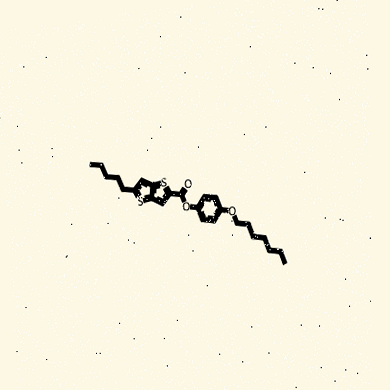 CCCCCCCOc1ccc(OC(=O)c2cc3sc(CCCCC)cc3s2)cc1